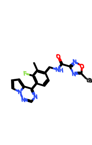 Cc1c(CNC(=O)c2noc(C(C)(C)C)n2)ccc(-c2ncnn3cccc23)c1F